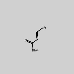 CNC(=O)C=CC(C)C